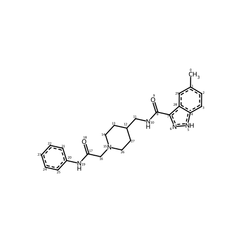 Cc1ccc2[nH]nc(C(=O)NCC3CCN(CC(=O)Nc4ccccc4)CC3)c2c1